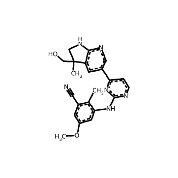 COc1cc(C#N)c(C)c(Nc2nccc(-c3cnc4c(c3)C(C)(CO)CN4)n2)c1